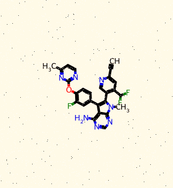 C#Cc1cc(C(F)F)c(-c2c(-c3ccc(Oc4nccc(C)n4)c(F)c3)c3c(N)ncnc3n2C)cn1